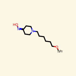 CCCOCCCCCCN1CCC(=NO)CC1